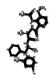 COc1ccnc(C(=O)N[C@@H](C)C(=O)O[C@@H](C)[C@H](c2ccc(F)cc2C)C2CCCCC2)c1OC(C)=O